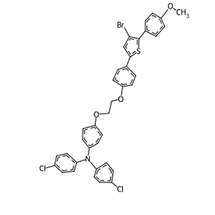 COc1ccc(-c2sc(-c3ccc(OCCOc4ccc(N(c5ccc(Cl)cc5)c5ccc(Cl)cc5)cc4)cc3)cc2Br)cc1